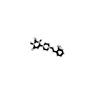 Cn1c(N2CCN(CCc3ccccc3N)CC2)cc(=O)n(C)c1=O